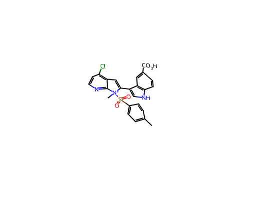 Cc1ccc(S(=O)(=O)[N+]2(C)C(c3c[nH]c4ccc(C(=O)O)cc34)=Cc3c(Cl)ccnc32)cc1